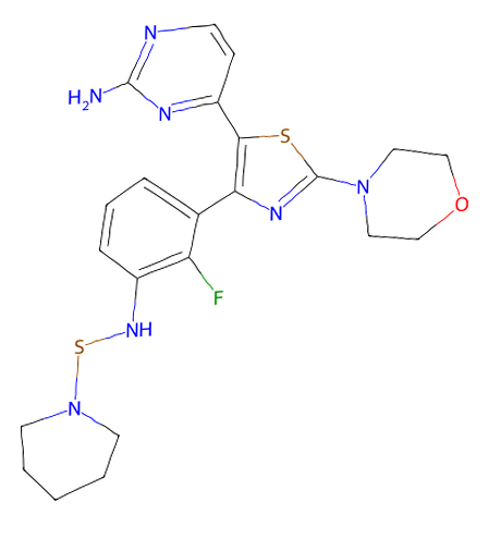 Nc1nccc(-c2sc(N3CCOCC3)nc2-c2cccc(NSN3CCCCC3)c2F)n1